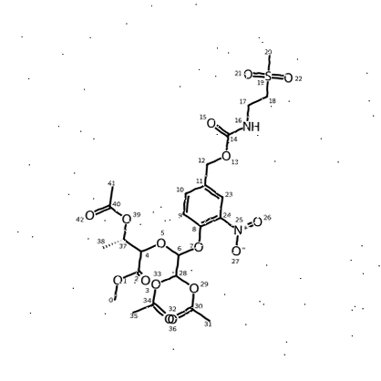 COC(=O)C(OC(Oc1ccc(COC(=O)NCCS(C)(=O)=O)cc1[N+](=O)[O-])C(OC(C)=O)OC(C)=O)[C@H](C)OC(C)=O